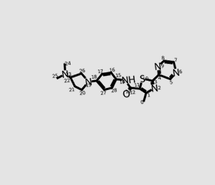 Cc1nc(-c2cnccn2)sc1C(=O)Nc1ccc(N2CCC(N(C)C)C2)cc1